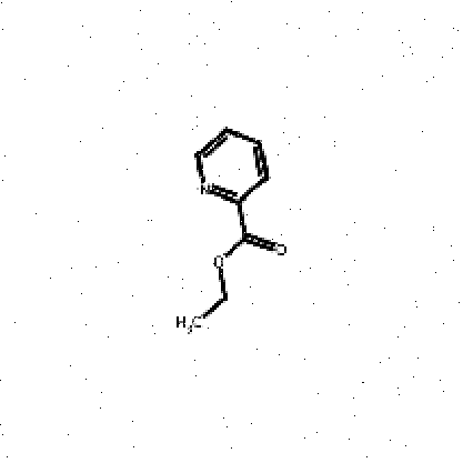 CCOC(=O)C1=[N+]C=CC=C1